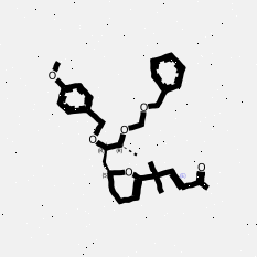 COc1ccc(CO[C@H](C[C@@H]2CCC=C(C(C)(C)/C=C/C(C)=O)O2)[C@@H](C)OCOCc2ccccc2)cc1